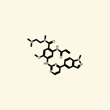 C=CC(=O)Nc1cc(Nc2nccc(-c3ccc4c(cnn4C)c3)n2)c(OC)cc1C(=O)N(C)CCN(C)C